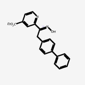 CCOC(=O)c1ccnc(/C(Cc2ccc(-c3ccccc3)cc2)=N/O)c1